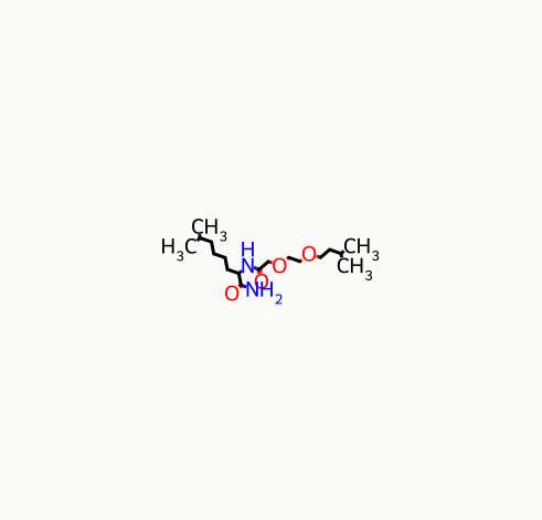 CC(C)CCCCC(NC(=O)COCCOCCC(C)C)C(N)=O